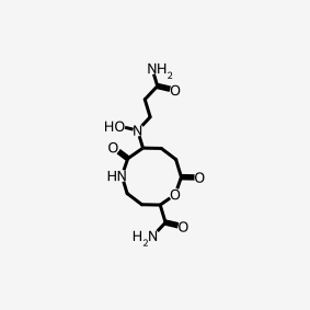 NC(=O)CCN(O)C1CCC(=O)OC(C(N)=O)CCNC1=O